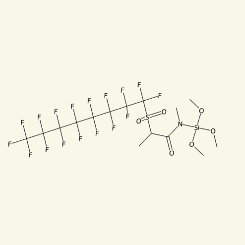 CO[Si](OC)(OC)N(C)C(=O)C(C)S(=O)(=O)C(F)(F)C(F)(F)C(F)(F)C(F)(F)C(F)(F)C(F)(F)C(F)(F)C(F)(F)F